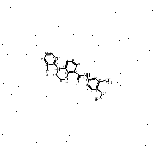 CC(C)Oc1ccc(NC(=O)c2cccc3c2OCCN3c2ncccc2Cl)cc1C(F)(F)F